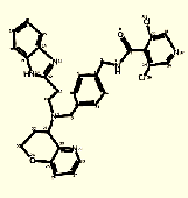 O=C(NCc1ccc(CN(CCc2nc3ccccc3[nH]2)C2CCOc3cccnc32)cc1)c1c(Cl)cncc1Cl